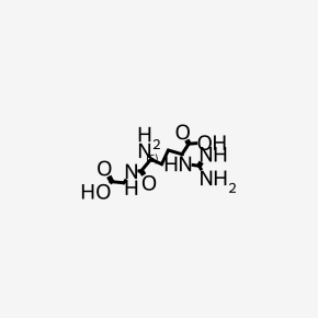 N=C(N)NC(CC[C@H](N)C(=O)NCC(=O)O)C(=O)O